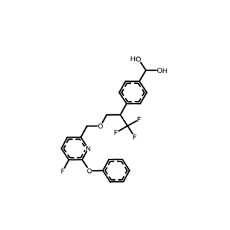 OC(O)c1ccc(C(COCc2ccc(F)c(Oc3ccccc3)n2)C(F)(F)F)cc1